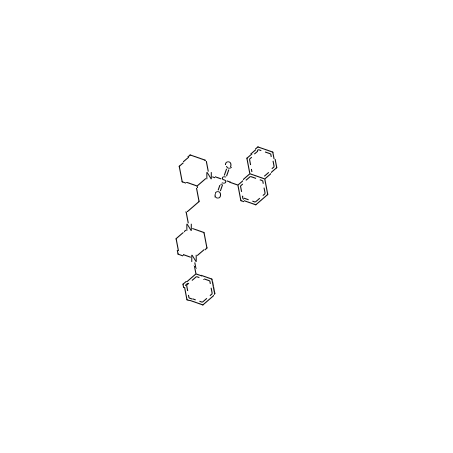 O=S(=O)(c1cccc2ccccc12)N1CCCCC1CCN1CCN(c2ccccc2)CC1